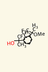 COC(C)(c1cccc(C(C)(CO)C(F)(F)F)c1C)C(F)(F)F